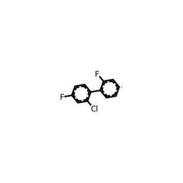 Fc1ccc(-c2cc[c]cc2F)c(Cl)c1